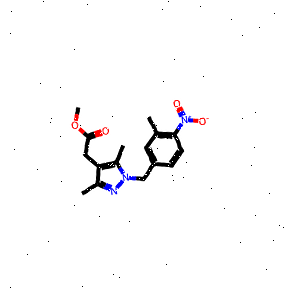 COC(=O)Cc1c(C)nn(Cc2ccc([N+](=O)[O-])c(C)c2)c1C